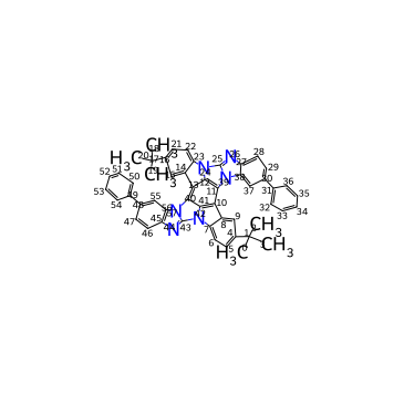 CC(C)(C)c1ccc2c(c1)c1c3c4c(c5cc(C(C)(C)C)ccc5n4c4nc5ccc(-c6ccccc6)cc5n34)c3c1n2c1nc2ccc(-c4ccccc4)cc2n31